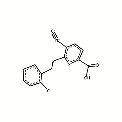 [C-]#[N+]c1ccc(C(=O)O)nc1SCc1ccccc1Cl